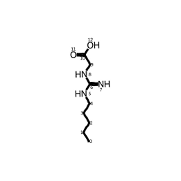 CCCCCNC(=N)NCC(=O)O